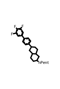 CCCCCC1CCC2CC(c3ccc(-c4cc(F)c(F)c(F)c4)cc3)CCC2C1